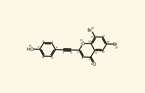 O=c1cc(C#Cc2ccc(O)cc2)oc2c(Br)cc(Br)cc12